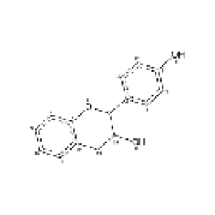 Oc1ccc(C2Oc3ccccc3CC2O)cc1